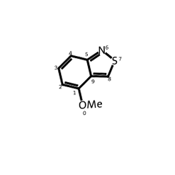 COc1cccc2nscc12